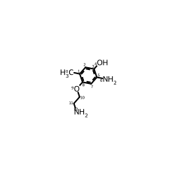 Cc1cc(O)c(N)cc1OCCN